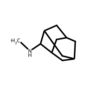 [CH2]NC1C2CC3CC(C2)CC1C3